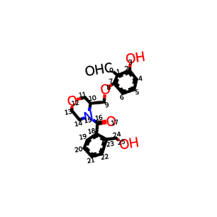 O=Cc1c(O)cccc1OCC1COCCN1C(=O)c1ccccc1CO